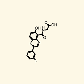 O=C(O)CNC(=O)c1c(O)ccc2nc(-c3cccc(F)c3)cnc12